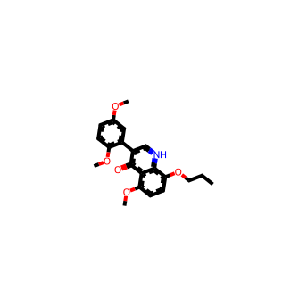 CCCOc1ccc(OC)c2c(=O)c(-c3cc(OC)ccc3OC)c[nH]c12